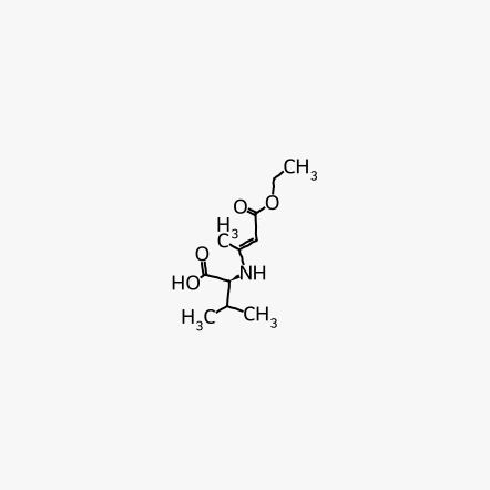 CCOC(=O)/C=C(\C)N[C@H](C(=O)O)C(C)C